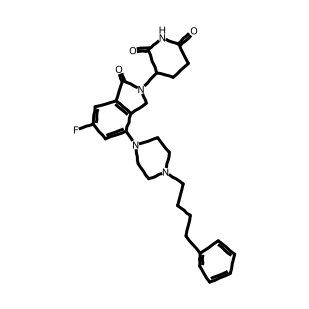 O=C1CCC(N2Cc3c(cc(F)cc3N3CCN(CCCCc4ccccc4)CC3)C2=O)C(=O)N1